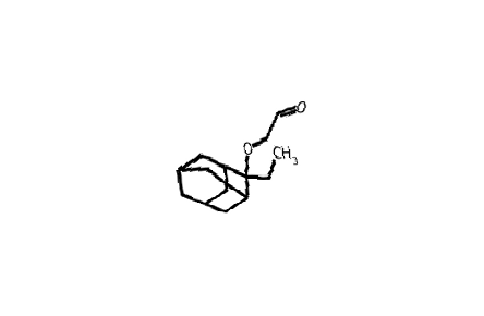 CCC1(OCC=O)C2CC3CC(C2)CC1C3